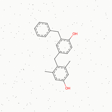 Cc1cc(O)cc(C)c1Cc1ccc(O)c(Cc2ccccc2)c1